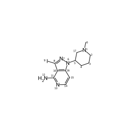 CN1CCCC(n2nc(I)c3c(N)nccc32)C1